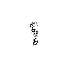 NC1CCC(c2ccc3c(c2)CCC(CSCCc2cnccn2)C3)C1